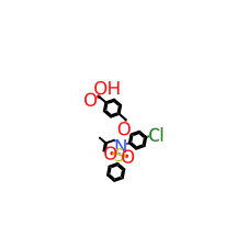 C=C(C)CN(c1ccc(Cl)cc1OCc1ccc(C(=O)O)cc1)S(=O)(=O)c1ccccc1